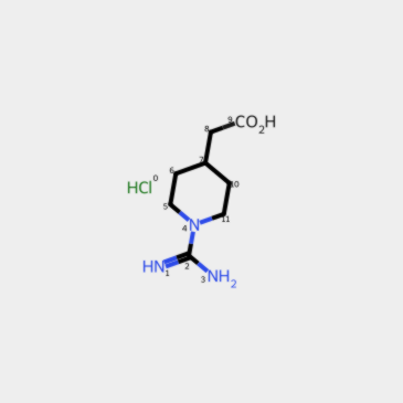 Cl.N=C(N)N1CCC(CC(=O)O)CC1